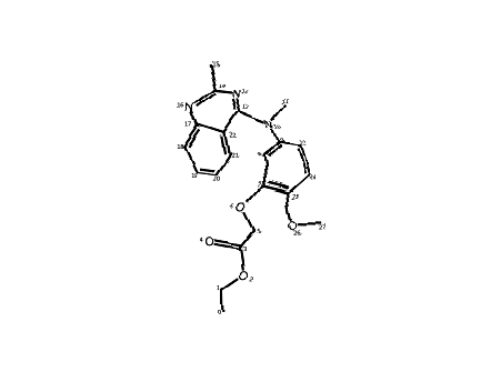 CCOC(=O)COc1cc(N(C)c2nc(C)nc3ccccc23)ccc1OC